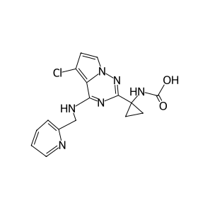 O=C(O)NC1(c2nc(NCc3ccccn3)c3c(Cl)ccn3n2)CC1